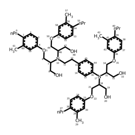 CCCc1ccc(OCC(CO)N(CCc2ccc(N(C(CO)COc3ccc(CCC)c(C)c3)C(CO)COc3ccc(CCC)c(C)c3)cc2)C(CO)COc2ccc(CCC)c(C)c2)cc1C